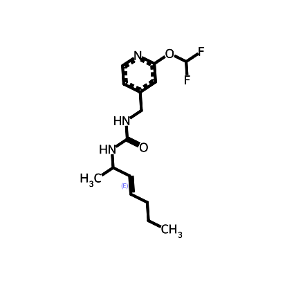 CCC/C=C/C(C)NC(=O)NCc1ccnc(OC(F)F)c1